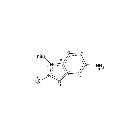 CCCCn1c(C)nc2cc(N)ccc21